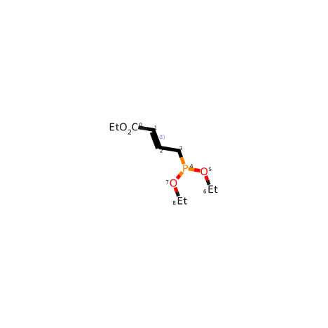 CCOC(=O)/C=C/CP(OCC)OCC